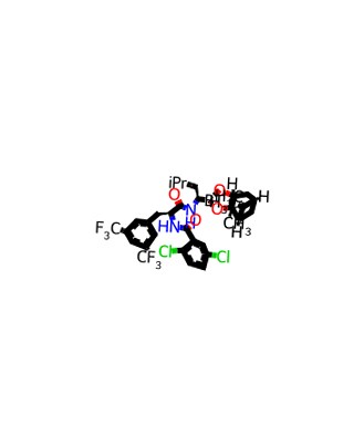 CC(C)C[C@H](NC(=O)[C@H](Cc1cc(C(F)(F)F)cc(C(F)(F)F)c1)NC(=O)c1cc(Cl)ccc1Cl)B1O[C@@H]2C[C@@H]3C[C@@H](C3(C)C)[C@]2(C)O1